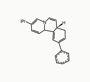 CC(C)C1=CN2C=C[C@@H]3CC=C(c4ccccc4)C=C3C2C=C1